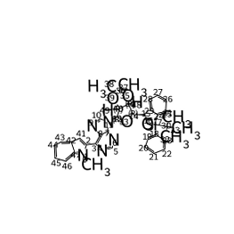 Cn1c(-c2ncnc3c2ncn3[C@@H]2O[C@H](CO[Si](c3ccccc3)(c3ccccc3)C(C)(C)C)[C@H]3OC(C)(C)O[C@H]32)cc2ccccc21